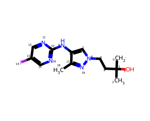 [CH2]C(C)(O)CCn1cc(Nc2ncc(I)cn2)c(C)n1